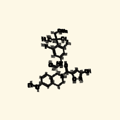 CCOc1ccc2c(c1)CCN(C(=O)c1cc(O)no1)[C@H]2C(=O)Nc1cc(F)c(C(C)(C)COC)c(F)c1